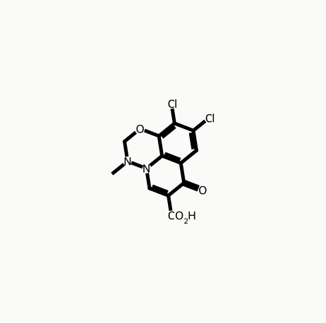 CN1COc2c(Cl)c(Cl)cc3c(=O)c(C(=O)O)cn1c23